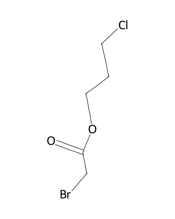 O=C(CBr)OCCCCl